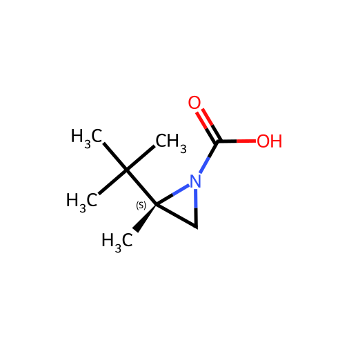 CC(C)(C)[C@@]1(C)CN1C(=O)O